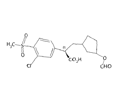 CS(=O)(=O)c1ccc([C@@H](CC2CCC(OC=O)C2)C(=O)O)cc1Cl